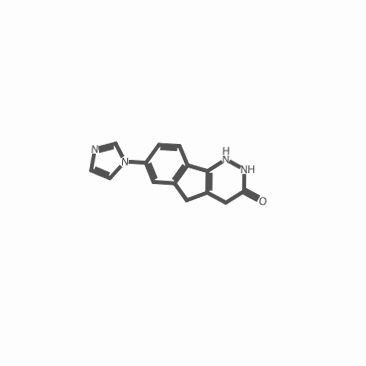 O=C1CC2=C(NN1)c1ccc(-n3ccnc3)cc1C2